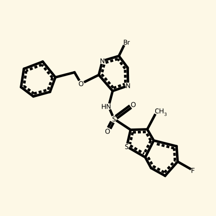 Cc1c(S(=O)(=O)Nc2ncc(Br)nc2OCc2ccccc2)sc2ccc(F)cc12